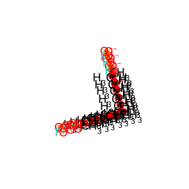 C[O+](C)C.C[O+](C)C.C[O+](C)C.C[O+](C)C.C[O+](C)C.C[O+](C)C.C[O+](C)C.C[O+](C)C.C[O+](C)C.C[O+](C)C.C[O+](C)C.C[O+](C)C.O=P([O-])([O-])F.O=P([O-])([O-])F.O=P([O-])([O-])F.O=P([O-])([O-])F.O=P([O-])([O-])F.O=P([O-])([O-])F